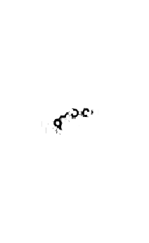 Cc1cc(C[C@@H](N)CN2CCN(C3CCN(C)CC3)CC2)cc2cn[nH]c12